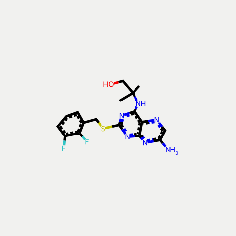 CC(C)(CO)Nc1nc(SCc2cccc(F)c2F)nc2nc(N)cnc12